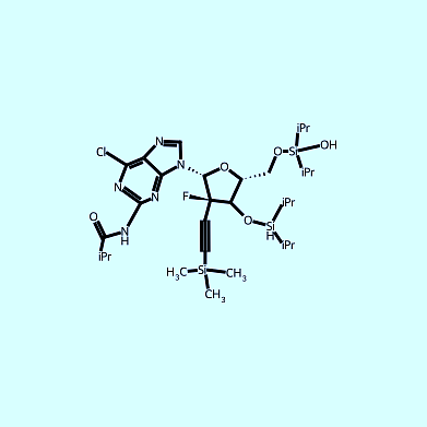 CC(C)C(=O)Nc1nc(Cl)c2ncn([C@@H]3O[C@H](CO[Si](O)(C(C)C)C(C)C)C(O[SiH](C(C)C)C(C)C)[C@]3(F)C#C[Si](C)(C)C)c2n1